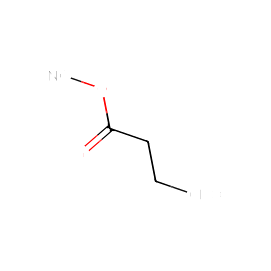 N#COC(=O)CCC=O